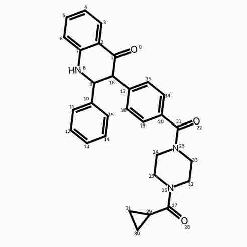 O=C1c2ccccc2NC(c2ccccc2)C1c1ccc(C(=O)N2CCN(C(=O)C3CC3)CC2)cc1